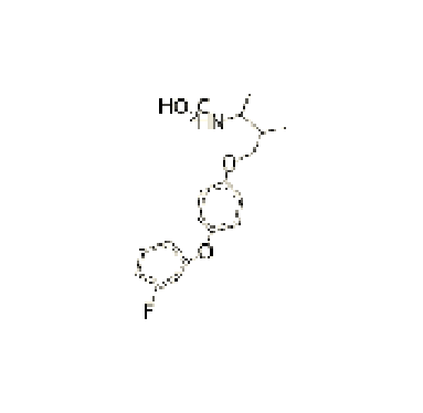 CC(COc1ccc(Oc2cccc(F)c2)cc1)C(C)NC(=O)O